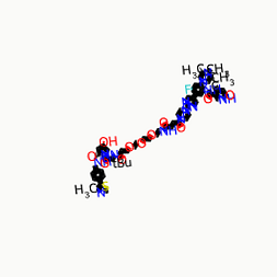 Cc1ncsc1-c1ccc(CNC(=O)[C@@H]2C[C@@H](O)CN2C(=O)[C@@H](NC(=O)CCOCCOCCOCCNC(=O)CCC(=O)N2CCN(c3ncc(-c4cc(NC(=O)c5c[nH]c(=O)cc5C(F)(F)F)c(N5C[C@@H](C)N(C)[C@@H](C)C5)cc4F)cn3)CC2)C(C)(C)C)cc1